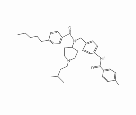 CCCCCc1ccc(C(=O)N(Cc2ccc(NC(=O)c3ccc(C)cc3)cc2)C2CCN(CCC(C)C)CC2)cc1